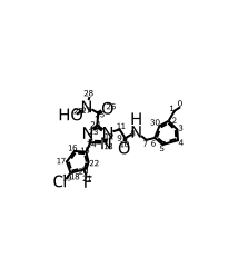 CCc1cccc(CNC(=O)Cn2nc(-c3ccc(Cl)c(F)c3)nc2C(=O)N(C)O)c1